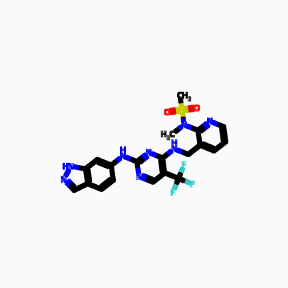 CN(c1ncccc1CNc1nc(Nc2ccc3cn[nH]c3c2)ncc1C(F)(F)F)S(C)(=O)=O